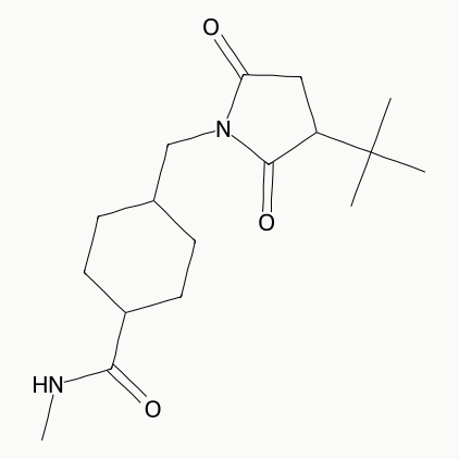 CNC(=O)C1CCC(CN2C(=O)CC(C(C)(C)C)C2=O)CC1